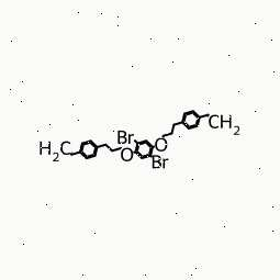 C=Cc1ccc(CCCOc2cc(Br)c(OCCCc3ccc(C=C)cc3)cc2Br)cc1